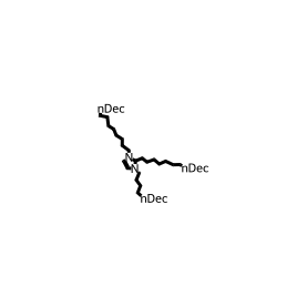 CCCCCCCCCCCCCCCCCCN1C=CN(CCCCCCCCCCCCCC)C1CCCCCCCCCCCCCCCCC